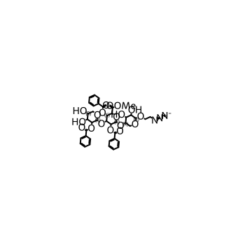 COC(=O)C1O[C@@H](O[C@@H]2CO[C@@H](OCCN=[N+]=[N-])C(O)C2O)C(OC(=O)c2ccccc2)C(O[C@H]2OC[C@@H](O)C(O)C2OC(=O)c2ccccc2)[C@@H]1OC(=O)c1ccccc1